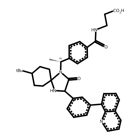 C[C@H](c1ccc(C(=O)NCCC(=O)O)cc1)N1C(=O)C(c2cccc(-c3cccc4cccnc34)c2)NC12CCC(C(C)(C)C)CC2